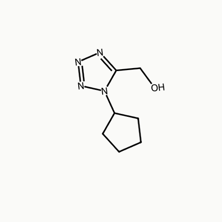 OCc1nnnn1C1CCCC1